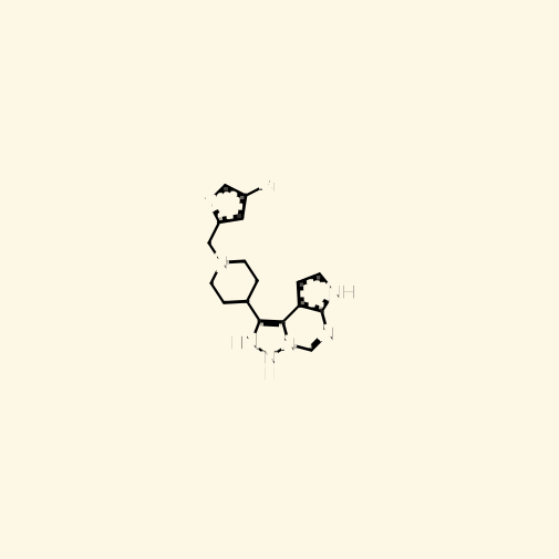 Brc1csc(CN2CCC(C3=C4c5cc[nH]c5N=CN4NN3)CC2)c1